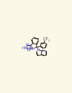 CCCCC(c1cccc(C(F)(F)F)c1)(c1ccccc1-c1nn[nH]n1)n1ccc2ccccc21